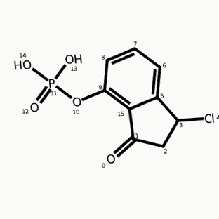 O=C1CC(Cl)c2cccc(OP(=O)(O)O)c21